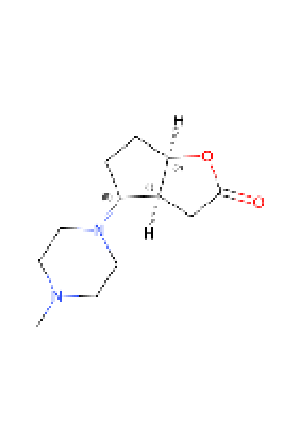 CN1CCN([C@@H]2CC[C@H]3OC(=O)C[C@@H]23)CC1